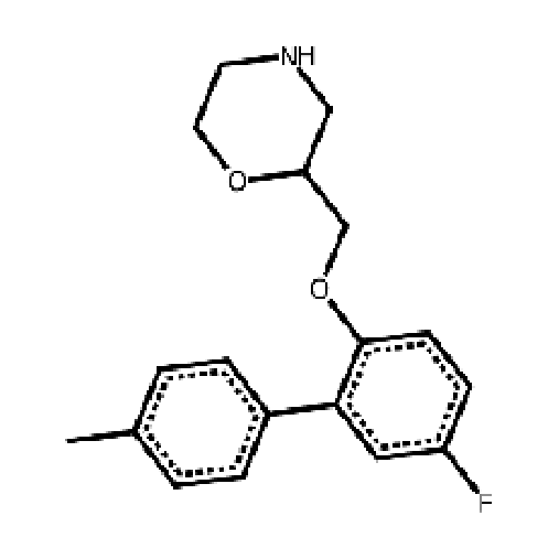 Cc1ccc(-c2cc(F)ccc2OCC2CNCCO2)cc1